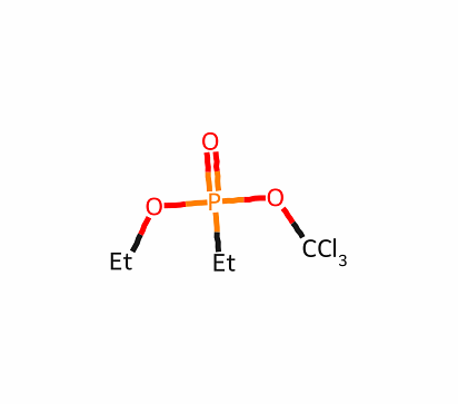 CCOP(=O)(CC)OC(Cl)(Cl)Cl